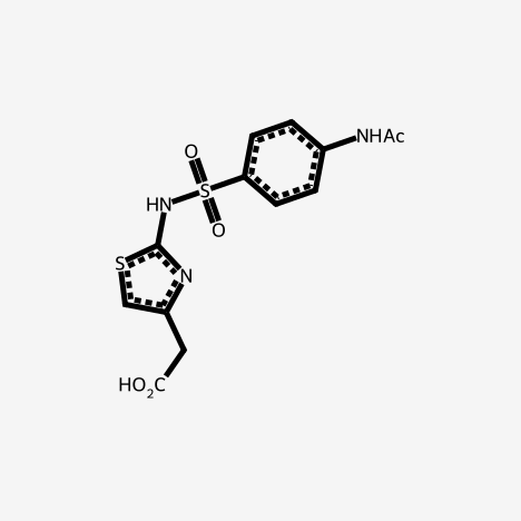 CC(=O)Nc1ccc(S(=O)(=O)Nc2nc(CC(=O)O)cs2)cc1